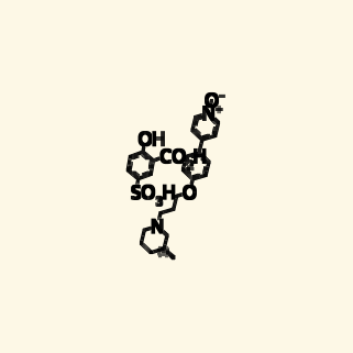 C[C@H]1CCCN(CCCOc2ccc(-c3cc[n+]([O-])cc3)cc2)C1.O=C(O)c1cc(S(=O)(=O)O)ccc1O